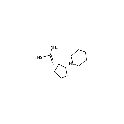 C1CCCC1.C1CCNCC1.NC(=S)S